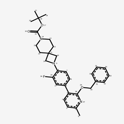 Cc1ccc(-c2ccc(N3CC4(CCN(C(=O)OC(C)(C)C)CC4)C3)c(F)c2)c(OCc2ccccc2)n1